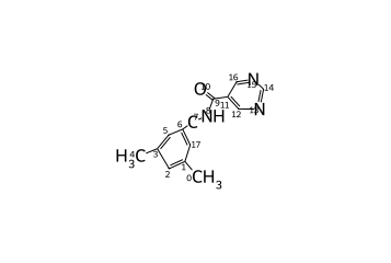 Cc1cc(C)cc(CNC(=O)c2cncnc2)c1